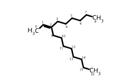 CC=C(CCCCCC)CCCCCCCC